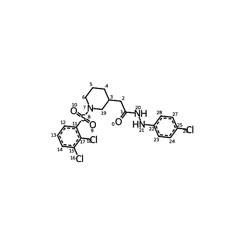 O=C(CC1CCCN(S(=O)(=O)c2cccc(Cl)c2Cl)C1)NNc1ccc(Cl)cc1